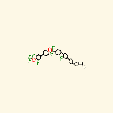 CC1CCC(c2ccc(C3CCC(C(F)(F)OC4CCC(c5ccc(OC(F)(F)F)c(F)c5)CC4)CC3)c(F)c2)CC1